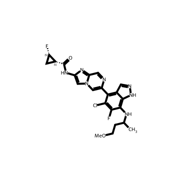 COCCC(C)Nc1c(F)c(Cl)c(-c2cn3cc(NC(=O)[C@@H]4C[C@@H]4F)nc3cn2)c2cn[nH]c12